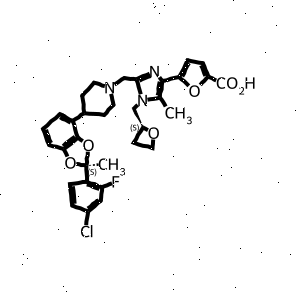 Cc1c(-c2ccc(C(=O)O)o2)nc(CN2CCC(c3cccc4c3O[C@@](C)(c3ccc(Cl)cc3F)O4)CC2)n1C[C@@H]1CCO1